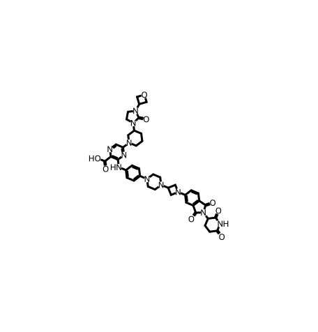 O=C1CCC(N2C(=O)c3ccc(N4CC(N5CCN(c6ccc(Nc7nc(N8CCCC(N9CCN(C%10COC%10)C9=O)C8)cnc7C(=O)O)cc6)CC5)C4)cc3C2=O)C(=O)N1